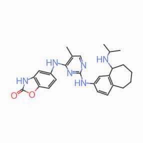 Cc1cnc(Nc2ccc3c(c2)C(NC(C)C)CCCC3)nc1Nc1ccc2oc(=O)[nH]c2c1